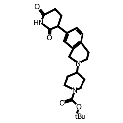 CC(C)(C)OC(=O)N1CCC(N2CCc3ccc(C4CCC(=O)NC4=O)cc3C2)CC1